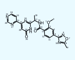 COc1cc(-c2noc(C)n2)ccc1C(=O)NC(C)c1nc(-c2ccncn2)cc(=O)[nH]1